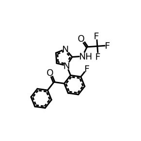 O=C(c1ccccc1)c1cccc(F)c1-n1ccnc1NC(=O)C(F)(F)F